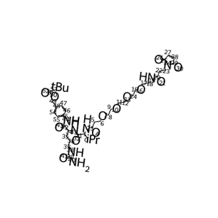 CC(C)C(NC(=O)CCOCCOCCOCCOCCNC(=O)CCN1C(=O)C=CC1=O)C(=O)N[C@@H](CCCNC(N)=O)C(=O)Nc1ccc(COC(=O)C(C)(C)C)cc1